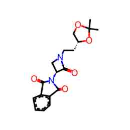 CC1(C)OC[C@@H](CCN2C[C@H](N3C(=O)c4ccccc4C3=O)C2=O)O1